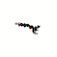 CN(C(=O)OC(C)(C)C)c1cc(N2CCc3c(CC4CCN(C5CCN(C6CCN(C(=O)OC(C)(C)C)CC6)CC5(F)F)CC4)cccc32)nn2c(C(=O)N[C@@H]3C[C@@H]3F)cnc12